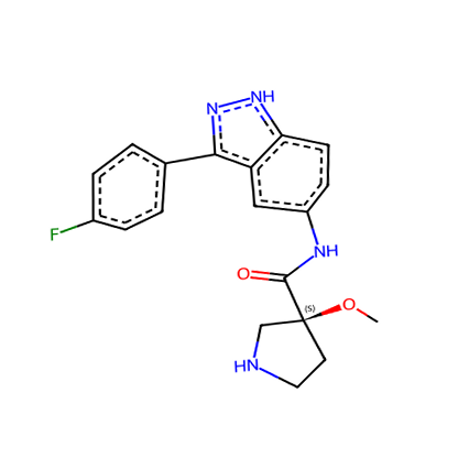 CO[C@@]1(C(=O)Nc2ccc3[nH]nc(-c4ccc(F)cc4)c3c2)CCNC1